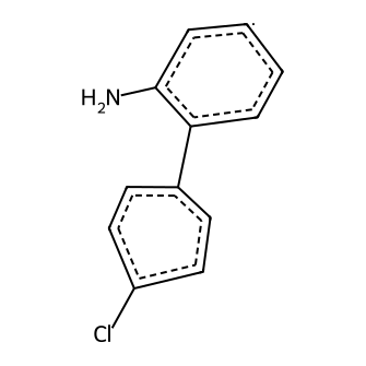 Nc1c[c]ccc1-c1ccc(Cl)cc1